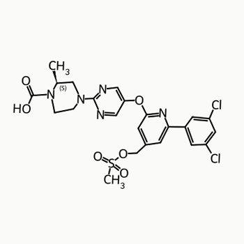 C[C@H]1CN(c2ncc(Oc3cc(COS(C)(=O)=O)cc(-c4cc(Cl)cc(Cl)c4)n3)cn2)CCN1C(=O)O